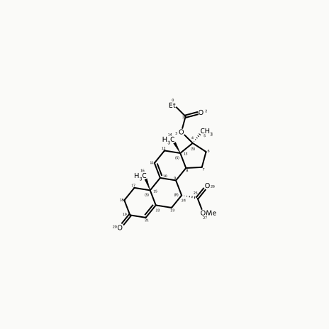 CCC(=O)O[C@@]1(C)CCC2C3C(=CC[C@@]21C)[C@@]1(C)CCC(=O)C=C1C[C@H]3C(=O)OC